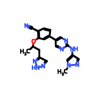 CC(Cc1cn[nH]n1)Oc1cc(-c2cnc(Nc3cnn(C)c3)nc2)ccc1C#N